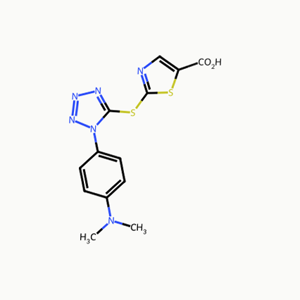 CN(C)c1ccc(-n2nnnc2Sc2ncc(C(=O)O)s2)cc1